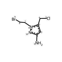 Nc1cc(CCl)n(CCBr)n1